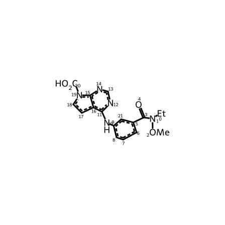 CCN(OC)C(=O)c1cccc(Nc2ncnc3c2ccn3C(=O)O)c1